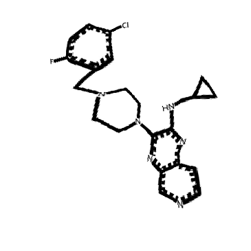 Fc1ccc(Cl)cc1CN1CCN(c2nc3cnccc3nc2NC2CC2)CC1